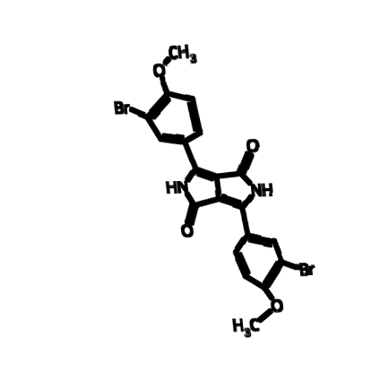 COc1ccc(C2=C3C(=O)NC(c4ccc(OC)c(Br)c4)=C3C(=O)N2)cc1Br